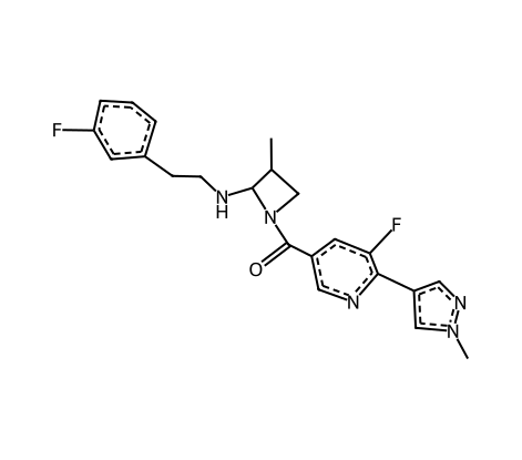 CC1CN(C(=O)c2cnc(-c3cnn(C)c3)c(F)c2)C1NCCc1cccc(F)c1